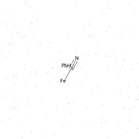 N#[C][Fe].[PbH2]